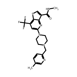 CNC(=O)c1csc2c(C(F)(F)F)cc(N3CCN(Cc4ccc(C)cn4)CC3)nc12